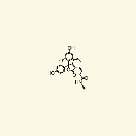 C#CNC(=O)C/C=C\C1=C(/C=C\C)C2(OC1=O)c1ccc(O)cc1Oc1cc(O)ccc12